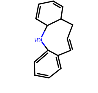 C1=CC2C/C=C/c3ccccc3NC2C=C1